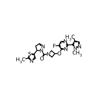 Cc1ncc(C2CC=NN2C(=O)N2CC(Oc3nc(-c4c(C)cnn4C)ncc3F)C2)s1